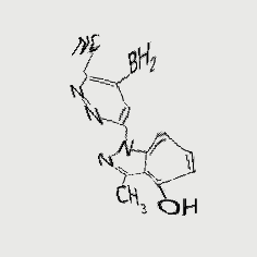 Bc1cc(-n2nc(C)c3c(O)cccc32)nnc1C#N